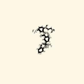 CN(C)CCN(C)c1ccc(C(F)(F)F)cc1NC(=O)c1cc(C2(N)N=Cc3ccccc3N2)ccc1F